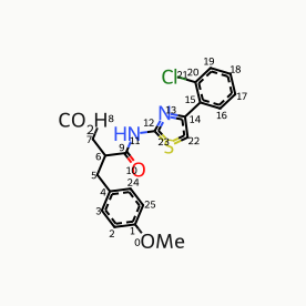 COc1ccc(CC(CC(=O)O)C(=O)Nc2nc(-c3ccccc3Cl)cs2)cc1